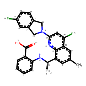 Cc1cc([C@@H](C)Nc2ccccc2C(=O)O)c2nc(N3Cc4ccc(F)cc4C3)cc(F)c2c1